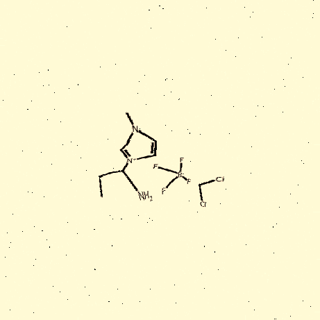 CCC(N)[n+]1ccn(C)c1.ClCCl.F[B-](F)(F)F